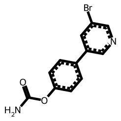 NC(=O)Oc1ccc(-c2cncc(Br)c2)cc1